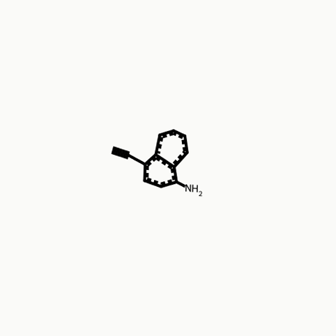 C#Cc1ccc(N)c2ccccc12